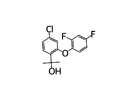 CC(C)(O)c1ccc(Cl)cc1Oc1ccc(F)cc1F